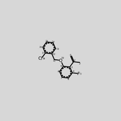 C=C(C)c1c(F)cccc1OCc1ccccc1Cl